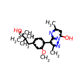 COc1cc(CC(C)(C)[Si](C)(C)O)ccc1-c1c(C)nn2c(O)cc(C)nc12